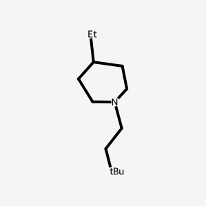 CCC1CCN(CCC(C)(C)C)CC1